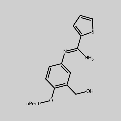 CCCCCOc1ccc(N=C(N)c2cccs2)cc1CO